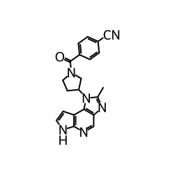 Cc1nc2cnc3[nH]ccc3c2n1C1CCN(C(=O)c2ccc(C#N)cc2)C1